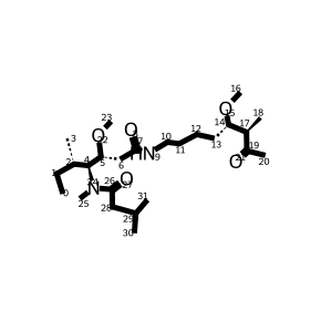 CC[C@H](C)[C@@H]([C@@H](CC(=O)NCCCC[C@H](OC)[C@@H](C)C(C)=O)OC)N(C)C(=O)CC(C)C